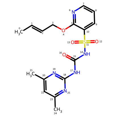 CC=CCOc1ncccc1S(=O)(=O)NC(=O)Nc1nc(C)cc(C)n1